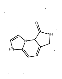 O=C1NCC2=CC=C3NC=CN3C12